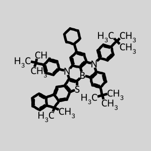 CC(C)(C)c1ccc(N2c3ccc(C(C)(C)C)cc3B3c4sc5cc6c(cc5c4N(c4ccc(C(C)(C)C)cc4)c4cc(C5CCCCC5)cc2c43)-c2ccccc2C6(C)C)cc1